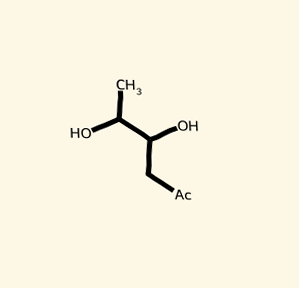 CC(=O)CC(O)C(C)O